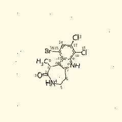 CC1C(=O)NCCc2[nH]c3c(Cl)c(Cl)cc(Br)c3c21